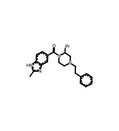 Cc1nc2cc(C(=O)N3CCN(CCc4ccccc4)CC3C(C)C)ccc2[nH]1